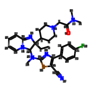 CCC1(C2CCN(CC(=O)N(C)C)CC2)N=C2C=CC=CN2C1N(C)c1nc(-c2ccc(F)cc2)c(C#N)s1